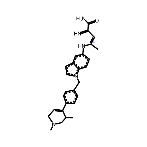 C/C(=C/C(=N)C(N)=O)Nc1ccc2c(ccn2Cc2ccc(C3=CCN(C)CC3C)cc2)c1